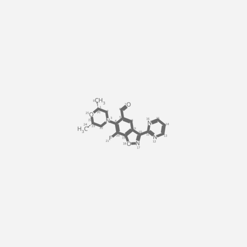 C[C@@H]1CN(c2c(C=O)cc3c(-c4ncccn4)noc3c2F)C[C@H](C)O1